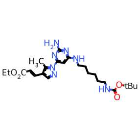 CCOC(=O)C=Cc1cnn(-c2cc(NCCCCCCNC(=O)OC(C)(C)C)nc(N)n2)c1C